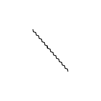 CCCCCCCCCC/C=C/CCCCCCCCCCCCCC